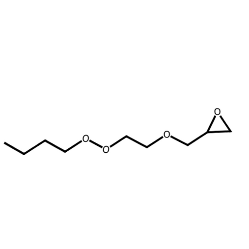 CCCCOOCCOCC1CO1